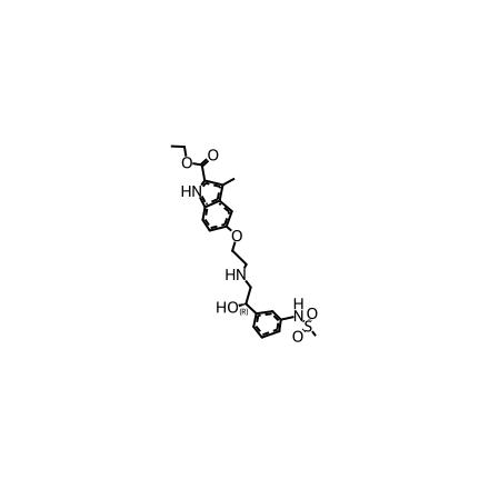 CCOC(=O)c1[nH]c2ccc(OCCNC[C@H](O)c3cccc(NS(C)(=O)=O)c3)cc2c1C